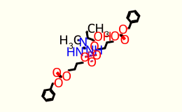 CCC(C(=O)O)N(C)C(=N)NP(=O)(OCCCCOC(=O)OCc1ccccc1)OCCCCOC(=O)OCc1ccccc1